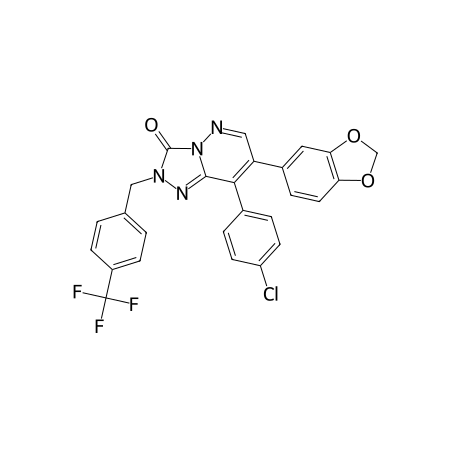 O=c1n(Cc2ccc(C(F)(F)F)cc2)nc2c(-c3ccc(Cl)cc3)c(-c3ccc4c(c3)OCO4)cnn12